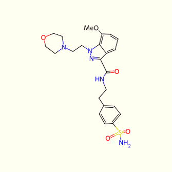 COc1cccc2c(C(=O)NCCc3ccc(S(N)(=O)=O)cc3)nn(CCN3CCOCC3)c12